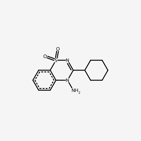 NN1C(C2CCCCC2)=NS(=O)(=O)c2ccccc21